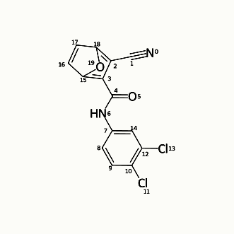 N#Cc1c(C(=O)Nc2ccc(Cl)c(Cl)c2)c2ccc1o2